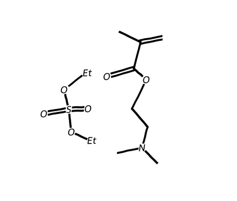 C=C(C)C(=O)OCCN(C)C.CCOS(=O)(=O)OCC